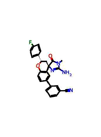 CN1C(=O)[C@]2(C[C@@H](c3ccc(F)cc3)Oc3ccc(-c4cccc(C#N)c4)cc32)N=C1N